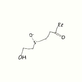 CCC(=O)CC[S+]([O-])CCO